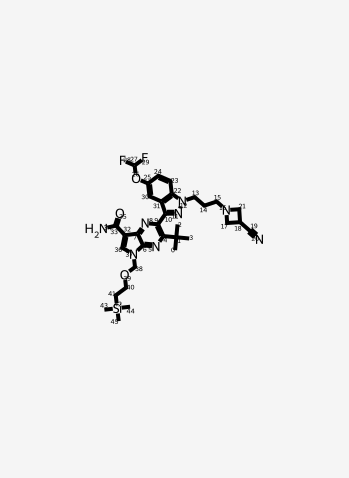 CC(C)(C)c1nc2c(nc1-c1nn(CCCN3CC(C#N)C3)c3ccc(OC(F)F)cc13)c(C(N)=O)cn2COCC[Si](C)(C)C